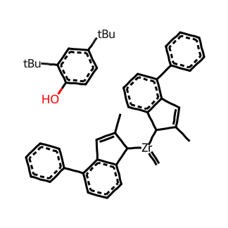 CC(C)(C)c1ccc(O)c(C(C)(C)C)c1.[CH2]=[Zr]([CH]1C(C)=Cc2c(-c3ccccc3)cccc21)[CH]1C(C)=Cc2c(-c3ccccc3)cccc21